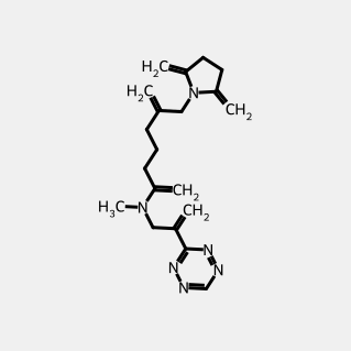 C=C(CCCC(=C)N(C)CC(=C)c1nncnn1)CN1C(=C)CCC1=C